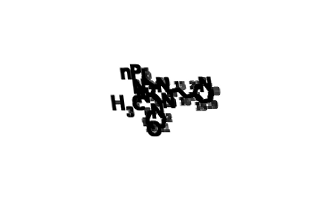 CCCc1nn(C)c2c(N3CCOCC3)nc(CCc3cccnc3)nc12